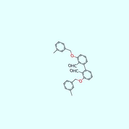 Cc1cccc(COc2cccc(-c3cccc(OCc4cccc(C)c4)c3C=O)c2C=O)c1